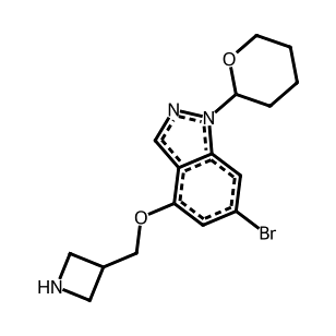 Brc1cc(OCC2CNC2)c2cnn(C3CCCCO3)c2c1